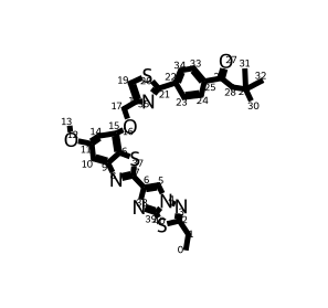 CCc1nn2cc(-c3nc4cc(OC)cc(OCc5csc(-c6ccc(C(=O)CC(C)(C)C)cc6)n5)c4s3)nc2s1